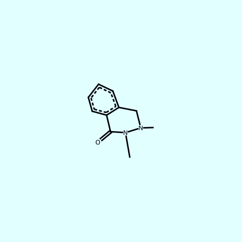 CN1Cc2ccccc2C(=O)N1C